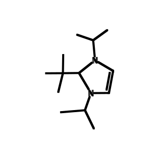 CC(C)N1C=CN(C(C)C)C1C(C)(C)C